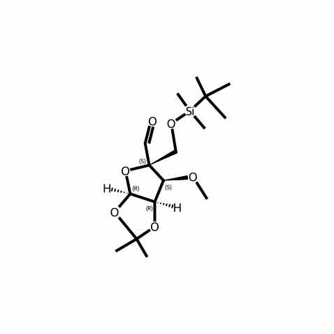 CO[C@H]1[C@H]2OC(C)(C)O[C@H]2O[C@@]1(C=O)CO[Si](C)(C)C(C)(C)C